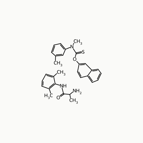 Cc1cccc(C)c1NC(=O)C(C)N.Cc1cccc(N(C)C(=S)Oc2ccc3ccccc3c2)c1